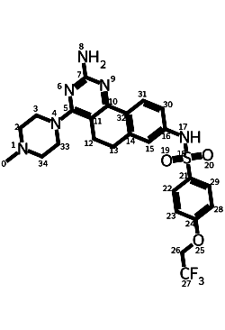 CN1CCN(c2nc(N)nc3c2CCc2cc(NS(=O)(=O)c4ccc(OCC(F)(F)F)cc4)ccc2-3)CC1